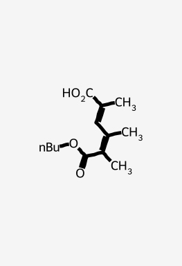 CCCCOC(=O)C(C)=C(C)C=C(C)C(=O)O